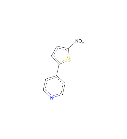 O=[N+]([O-])c1ccc(-c2ccncc2)s1